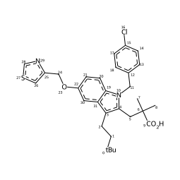 CC(C)(C)CCc1c(CC(C)(C)C(=O)O)n(Cc2ccc(Cl)cc2)c2ccc(OCc3cscn3)cc12